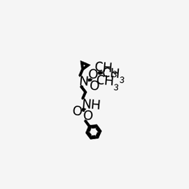 CC(C)(C)OC(=O)N(CCCNC(=O)OCc1ccccc1)CC1CC1